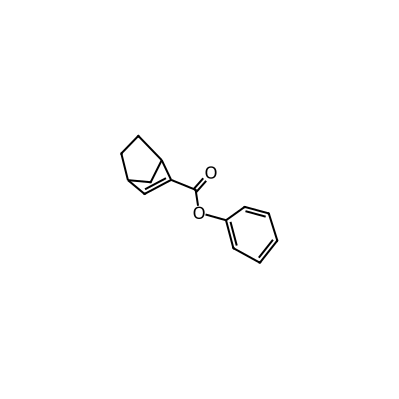 O=C(Oc1ccccc1)C1=CC2CCC1C2